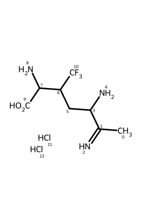 CC(=N)C(N)CC(C(N)C(=O)O)C(F)(F)F.Cl.Cl